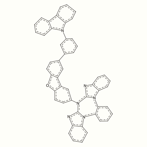 c1cc(-c2ccc3oc4ccc(-n5c6nc7ccccc7n6c6ccccc6n6c7ccccc7nc56)cc4c3c2)cc(-n2c3ccccc3c3ccccc32)c1